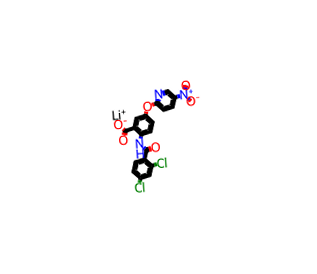 O=C(Nc1ccc(Oc2ccc([N+](=O)[O-])cn2)cc1C(=O)[O-])c1ccc(Cl)cc1Cl.[Li+]